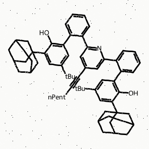 CCCCCC#Cc1cc(-c2ccccc2-c2cc(C(C)(C)C)cc(C34CC5CC(CC(C5)C3)C4)c2O)nc(-c2ccccc2-c2cc(C(C)(C)C)cc(C34CC5CC(CC(C5)C3)C4)c2O)c1